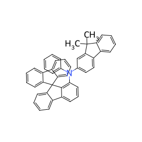 CC1(C)c2ccccc2-c2ccc(N(c3ccccc3)c3cccc4c3C3(c5ccccc5-c5ccccc53)c3ccccc3-4)cc21